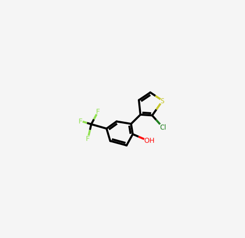 Oc1ccc(C(F)(F)F)cc1-c1ccsc1Cl